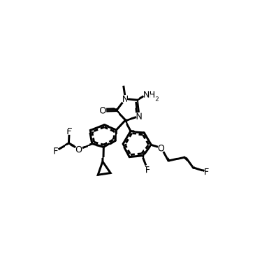 CN1C(=O)C(c2ccc(F)c(OCCCF)c2)(c2ccc(OC(F)F)c(C3CC3)c2)N=C1N